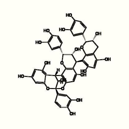 Oc1cc(O)c2c(c1)O[C@@]1(c3ccc(O)c(O)c3)Oc3cc(O)c4c(c3[C@@H]2[C@H]1O)O[C@H](c1ccc(O)c(O)c1)[C@H](O)[C@H]4c1c(O)cc(O)c2c1O[C@H](c1ccc(O)c(O)c1)[C@H](O)C2